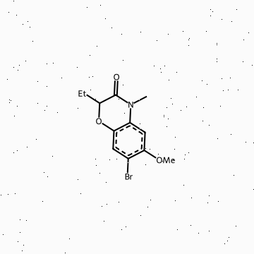 CCC1Oc2cc(Br)c(OC)cc2N(C)C1=O